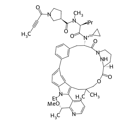 CC#CC(=O)N1CC[C@@H](C(=O)N(C)[C@H](C(=O)[N+](=C2CC2)[C@H]2Cc3cccc(c3)-c3ccc4c(c3)c(c(-c3cccnc3[C@H](C)OC)n4CC)CC(C)(C)COC(=O)[C@@H]3CCCN(N3)C2=O)C(C)C)C1